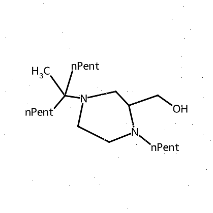 CCCCCN1CCN(C(C)(CCCCC)CCCCC)CC1CO